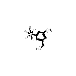 Cc1cc(CO)cc(S(F)(F)(F)(F)F)c1